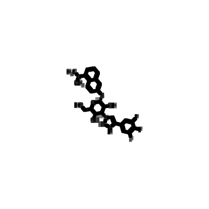 CN(C)c1cccc2cc(S[C@H]3OC(CO)[C@H](O)[C@H](N4C=C(c5cc(F)c(F)c(F)c5)NN4)C3O)ccc12